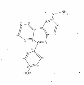 NCc1ccc(/C=C(\c2ccncc2)c2ccc(O)cc2)cc1